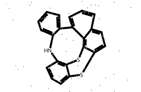 c1ccc2c(c1)Nc1cccc3c1Sc1c(ccc4cccc-2c14)S3